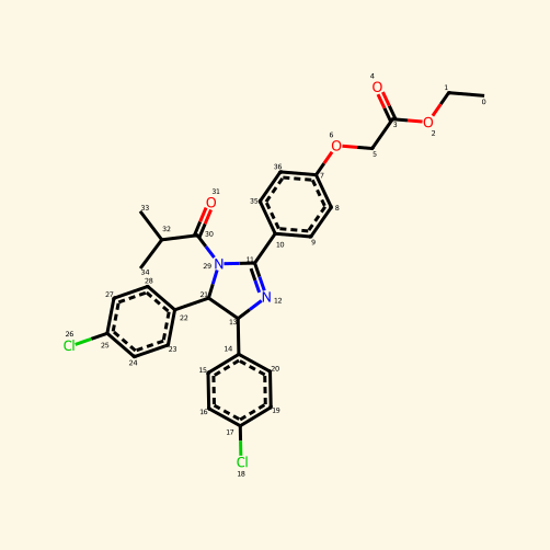 CCOC(=O)COc1ccc(C2=NC(c3ccc(Cl)cc3)C(c3ccc(Cl)cc3)N2C(=O)C(C)C)cc1